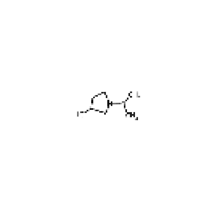 CN(C)N1CCC(O)C1